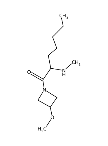 CCCCCC(NC)C(=O)N1CC(OC)C1